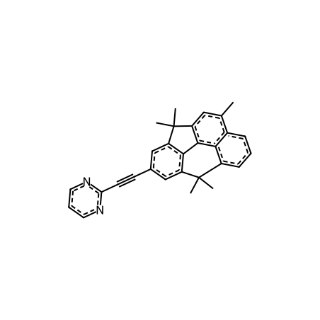 Cc1cc2c3c4c(cccc14)C(C)(C)c1cc(C#Cc4ncccn4)cc(c1-3)C2(C)C